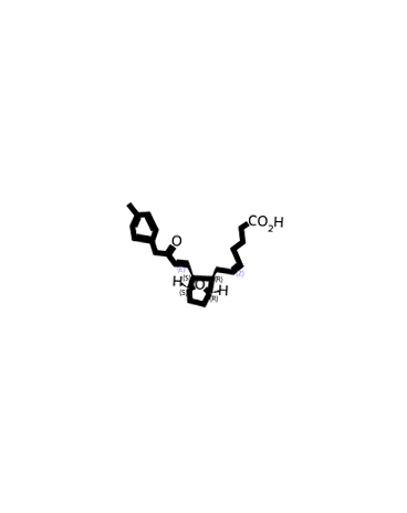 Cc1ccc(CC(=O)/C=C/[C@H]2[C@@H](C/C=C\CCCC(=O)O)[C@H]3CC[C@@H]2O3)cc1